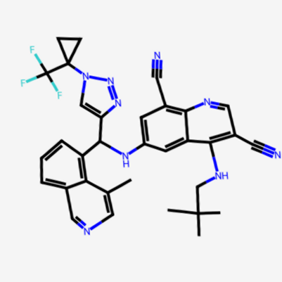 Cc1cncc2cccc(C(Nc3cc(C#N)c4ncc(C#N)c(NCC(C)(C)C)c4c3)c3cn(C4(C(F)(F)F)CC4)nn3)c12